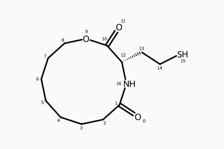 O=C1CCCCCCCOC(=O)[C@H](CCS)N1